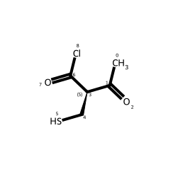 CC(=O)[C@@H](CS)C(=O)Cl